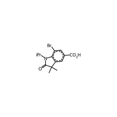 CC(C)N1C(=O)C(C)(C)c2cc(C(=O)O)cc(Br)c21